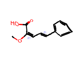 CO/C(=C/C=C/c1ccccc1)C(=O)O